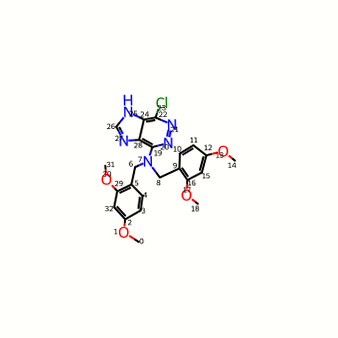 COc1ccc(CN(Cc2ccc(OC)cc2OC)c2nnc(Cl)c3[nH]cnc23)c(OC)c1